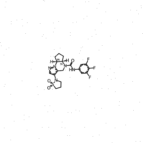 O=C(Nc1cc(F)c(F)c(F)c1)N1Cc2c(N3CCCS3(=O)=O)cnn2[C@@H]2CCC[C@@H]21